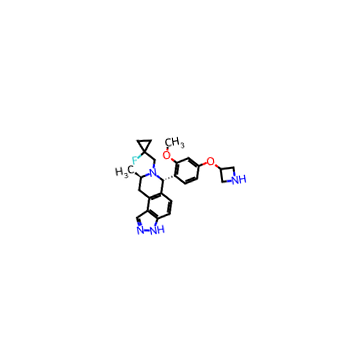 COc1cc(OC2CNC2)ccc1[C@@H]1c2ccc3[nH]ncc3c2C[C@@H](C)N1CC1(F)CC1